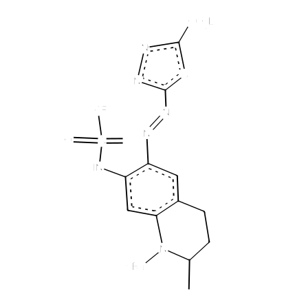 CCCCN1c2cc(NS(=O)(=O)C(F)(F)F)c(N=Nc3nnc(C(=O)OCC)s3)cc2CCC1C